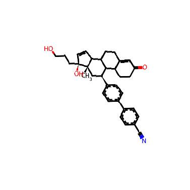 C[C@]12C[C@H](c3ccc(-c4ccc(C#N)cc4)cc3)C3C4CCC(=O)C=C4CCC3C1C=C[C@@]2(O)CCCO